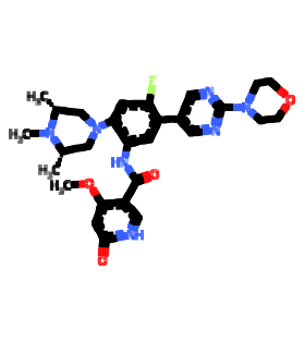 COc1cc(=O)[nH]cc1C(=O)Nc1cc(-c2cnc(N3CCOCC3)nc2)c(F)cc1N1C[C@@H](C)N(C)[C@@H](C)C1